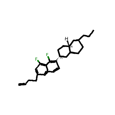 C=CCCc1cc(F)c2c(F)c([C@@H]3CC[C@@H]4CC(CCC)CCC4C3)ccc2c1